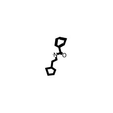 O=C([N]CCC1CCCC1)c1ccccc1